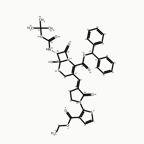 CCOC(=O)c1ccsc1N1CC/C(=C\C2=C(C(=O)OC(c3ccccc3)c3ccccc3)N3C(=O)[C@@H](NC(=O)OC(C)(C)C)[C@H]3SC2)C1=O